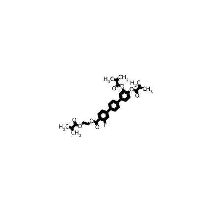 C=C(C)C(=O)OCCOC(=O)c1ccc(-c2ccc(-c3ccc(OC(=O)C(=C)C)c(OC(=O)C(=C)C)c3)cc2)cc1F